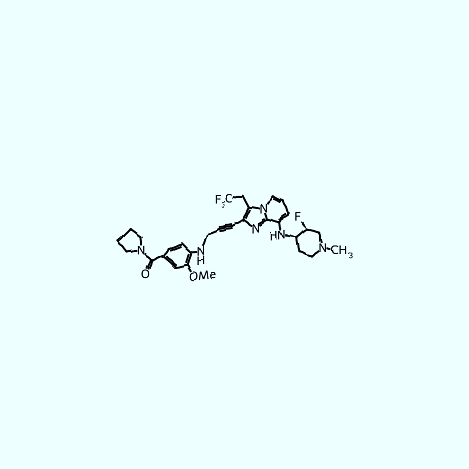 COc1cc(C(=O)N2CCCC2)ccc1NCC#Cc1nc2c(N[C@@H]3CCN(C)C[C@@H]3F)cccn2c1CC(F)(F)F